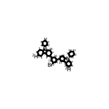 [2H]c1ccc2c(c1)c1cc(-c3cc(Br)cc(-c4ccc5c(c4)c4cc([2H])ccc4n5-c4ccccc4)c3)ccc1n2-c1ccccc1